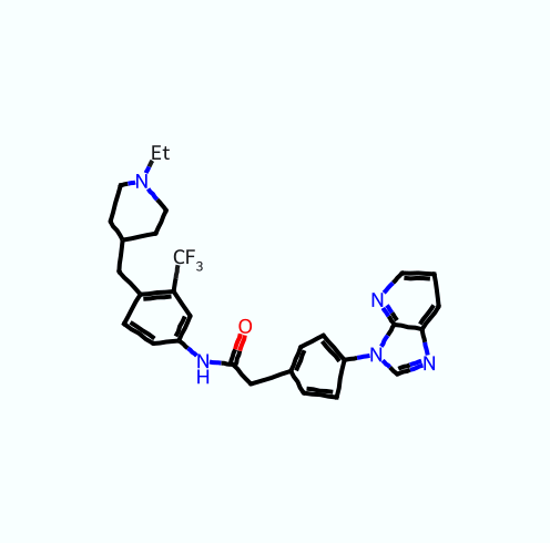 CCN1CCC(Cc2ccc(NC(=O)Cc3ccc(-n4cnc5cccnc54)cc3)cc2C(F)(F)F)CC1